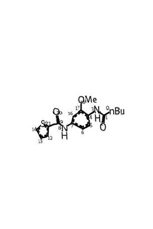 CCCCC(=O)Nc1ccc(NC(=O)c2cccs2)cc1OC